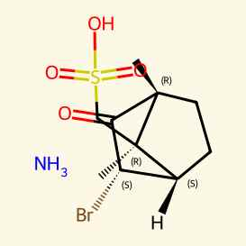 C[C@]12CC[C@H]([C@H](Br)C1=O)[C@@]2(C)CS(=O)(=O)O.N